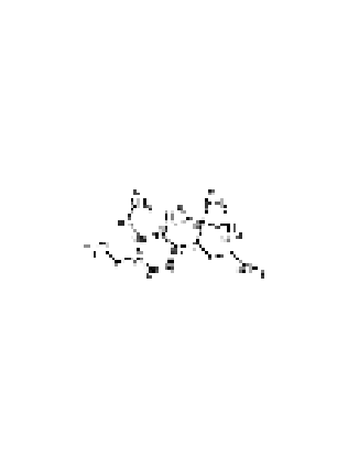 CCCC(c1ccc(CC)c(CC)c1)C(C)(C)N